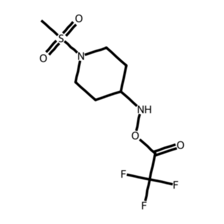 CS(=O)(=O)N1CCC(NOC(=O)C(F)(F)F)CC1